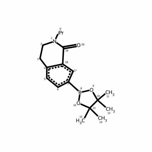 CC(C)N1CCc2ccc(B3OC(C)(C)C(C)(C)O3)cc2C1=O